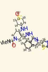 CNC(=O)N1CCC(NC2CC[S+]([O-])CC2)=C(C(=N)c2cccc3cc(-c4cnc(C)s4)ncc23)C1